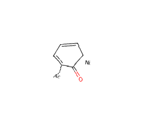 CC(=O)C1=CC=CCC1=O.[Ni]